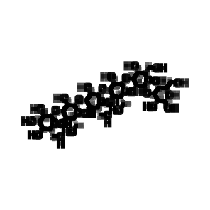 OC[C@@H](O)[C@@H](O)[C@H](O[C@@H]1O[C@H](CO)[C@@H](O)[C@H](O[C@@H]2O[C@H](CO)[C@@H](O)[C@H](O[C@@H]3O[C@H](CO)[C@@H](O)[C@H](O[C@@H]4O[C@H](CO)[C@@H](O)[C@H](O[C@@H]5O[C@H](CO)[C@@H](O)[C@H](O)[C@H]5O)[C@H]4O)[C@H]3O)[C@H]2O)[C@H]1O)[C@H](O)CO